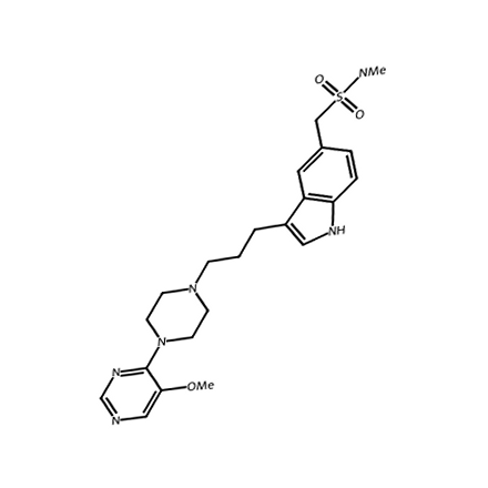 CNS(=O)(=O)Cc1ccc2[nH]cc(CCCN3CCN(c4ncncc4OC)CC3)c2c1